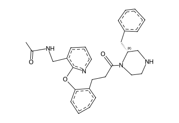 CC(=O)NCc1cccnc1Oc1ccccc1CCC(=O)N1CCNC[C@H]1Cc1ccccc1